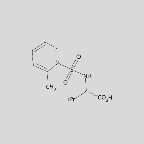 Cc1ccccc1S(=O)(=O)N[C@H](C(=O)O)C(C)C